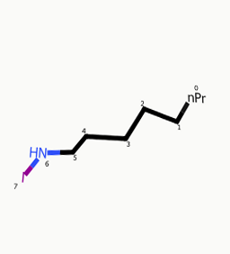 CCCCCCCCNI